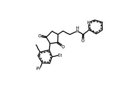 CCc1cc(C(C)C)cc(C)c1C1C(=O)CC(CCNC(=O)c2ccccn2)C1=O